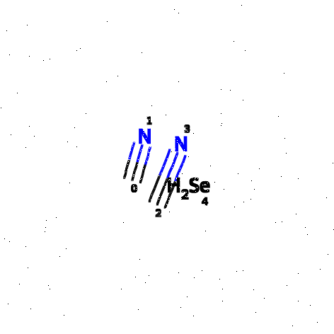 C#N.C#N.[SeH2]